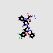 CN(Cc1ccccc1)C(=O)C1(c2ccc(Cl)c(Cl)c2)CC1CN1CCC(NC(=O)C(N)=O)(c2ccccc2)CC1I